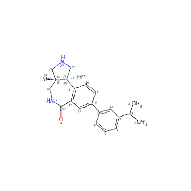 CC(C)c1cccc(-c2ccc3c(c2)C(=O)NC[C@@H]2CNC[C@@H]32)c1